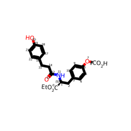 CCOC(=O)[C@H](Cc1ccc(OC(=O)O)cc1)NC(=O)CCc1ccc(O)cc1